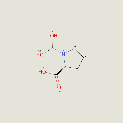 O=C(O)[C@@H]1CCCN1C(O)O